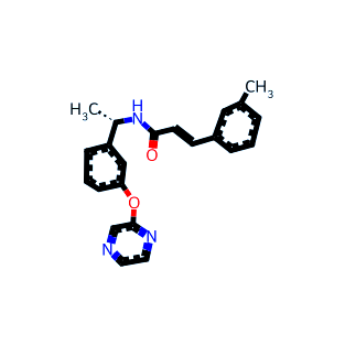 Cc1cccc(C=CC(=O)N[C@@H](C)c2cccc(Oc3cnccn3)c2)c1